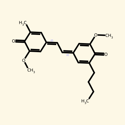 CCCCC1=C/C(=C/C=C2/C=C(C)C(=O)C(OC)=C2)C=C(OC)C1=O